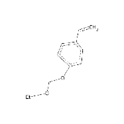 C=Cc1ccc(OCOCC)cc1